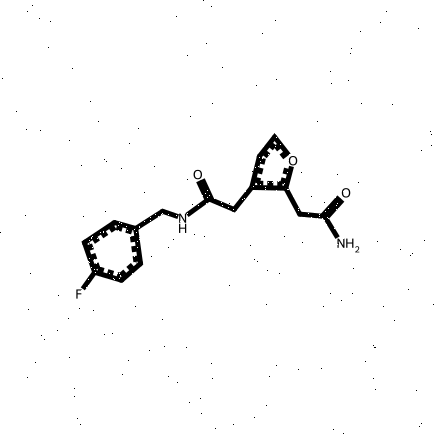 NC(=O)Cc1occc1CC(=O)NCc1ccc(F)cc1